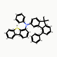 CC1(C)c2ccc(N(c3ccccc3)c3cccc4c3sc3ccccc34)cc2-c2c(-c3ccccc3)cccc21